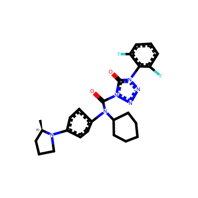 C[C@@H]1CCCN1c1ccc(N(C(=O)n2nnn(-c3c(F)cccc3F)c2=O)C2CCCCC2)cc1